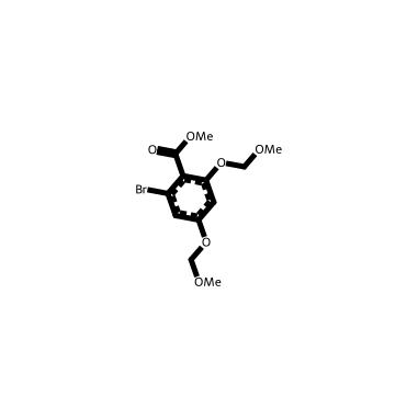 COCOc1cc(Br)c(C(=O)OC)c(OCOC)c1